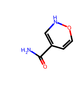 NC(=O)C1=CNOC=C1